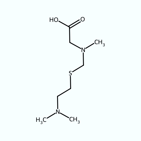 CN(C)CCSCN(C)CC(=O)O